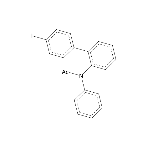 CC(=O)N(c1ccccc1)c1ccccc1-c1ccc(I)cc1